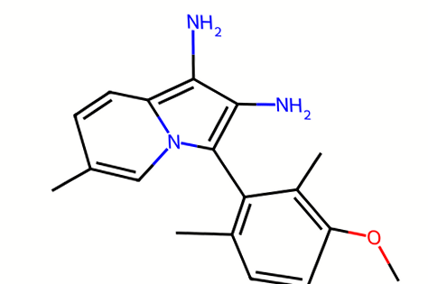 COc1ccc(C)c(-c2c(N)c(N)c3ccc(C)cn23)c1C